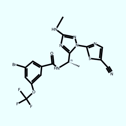 CNc1nc([C@H](C)NC(=O)c2cc(Br)cc(OC(F)(F)F)c2)n(-c2ncc(C#N)s2)n1